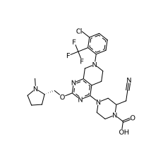 CN1CCC[C@H]1COc1nc2c(c(N3CCN(C(=O)O)C(CC#N)C3)n1)CCN(c1cccc(Cl)c1C(F)(F)F)C2